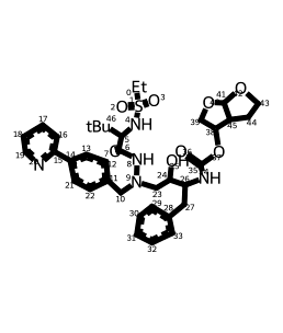 CCS(=O)(=O)NC(C(=O)NN(Cc1ccc(-c2ccccn2)cc1)CC(O)C(Cc1ccccc1)NC(=O)OC1COC2OCCC12)C(C)(C)C